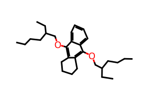 CCCCC(CC)COc1c2c(c(OCC(CC)CCCC)c3ccccc13)CCCC2